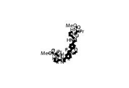 COC(=O)NC(C(=O)N1CCCC1c1ncc(-c2ccc3c(c2)OCCn2c-3c(F)c3c2=CCC(c2cnc(C4CCCN4C(=O)C(NC(=O)OC)C(C)C)[nH]2)C=3)[nH]1)C(C)C